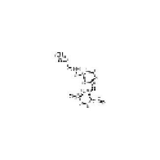 COCCNCc1cccc(Oc2cc(Cl)ccc2C#N)c1